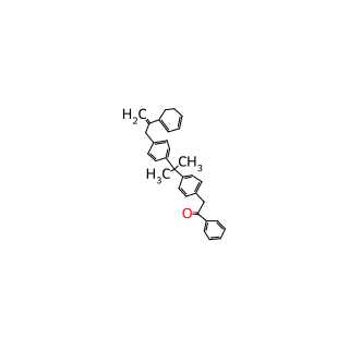 C=C(Cc1ccc(C(C)(C)c2ccc(CC(=O)c3ccccc3)cc2)cc1)C1=CC=CCC1